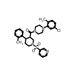 Cc1ccccc1C1CCN(S(=O)(=O)c2cccnc2)CC1C(=O)N1CCN(c2cc(Cl)ccc2C)CC1